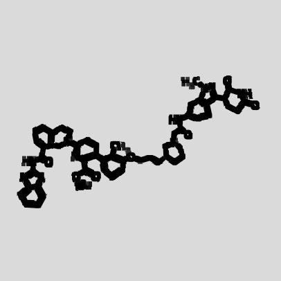 Cc1c(OCCC[C@@H]2CCCN(CC(=O)Nc3ccc4c(C5CCC(=O)NC5=O)nn(C)c4c3)C2)cccc1-c1ccc(N2CCc3cccc(C(=O)Nc4nc5ccccc5s4)c3C2)nc1C(=O)OC(C)(C)C